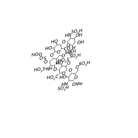 CO[C@H]1OC(COS(=O)(=O)O)[C@@H](O[C@@H]2OC(C(=O)O)[C@H](O[C@@H]3OC(COS(=O)(=O)O)[C@@H](O[C@@H]4OC(C(=O)O)[C@@H](O[C@H]5OC(COS(=O)(=O)O)[C@@H](O)[C@H](O)C5NS(=O)(=O)O)[C@H](O)C4O)[C@@H](OSOOO)C3NS(=O)(=O)O)[C@@H](O)C2OS(=O)(=O)O)[C@H](O)C1NS(=O)(=O)O